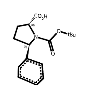 CC(C)(C)OC(=O)N1[C@@H](C(=O)O)CC[C@@H]1c1ccccc1